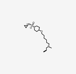 C=CCN(C)CCCCCCOC1CCN(S(=O)(=O)NC2CC2)CC1